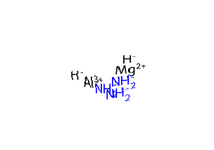 [Al+3].[H-].[H-].[Mg+2].[NH2-].[NH2-].[NH2-]